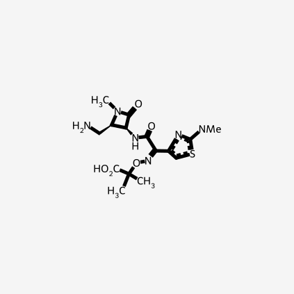 CNc1nc(/C(=N/OC(C)(C)C(=O)O)C(=O)N[C@@H]2C(=O)N(C)[C@@H]2CN)cs1